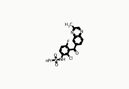 CCCS(=O)(=O)Nc1ccc(F)c(C(=O)c2ccc3ncc(C)nc3c2)c1Cl